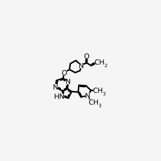 C=CC(=O)N1CCC(Oc2cnc3[nH]cc(C4=CN(C)C(C)C=C4)c3n2)CC1